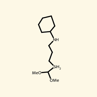 COC(OC)[SiH2]CCCNC1CCCCC1